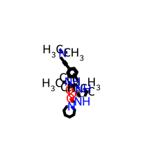 CC(C)C[C@H](NC(=O)N1CCCCCC1)C(=O)N[C@@H](Cc1ccc(C#CCN(C)C)cc1)C(=O)NC(C)(C)C